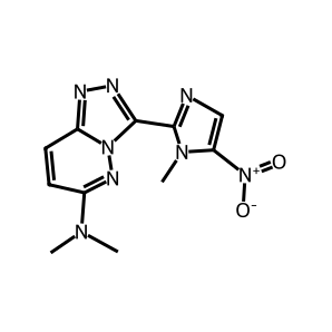 CN(C)c1ccc2nnc(-c3ncc([N+](=O)[O-])n3C)n2n1